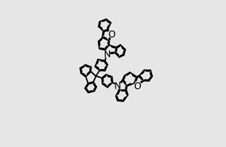 c1ccc2c(c1)-c1ccccc1C2(c1ccc(-n2c3ccccc3c3c4oc5ccccc5c4ccc32)cc1)c1ccc(-n2c3ccccc3c3c4oc5ccccc5c4ccc32)cc1